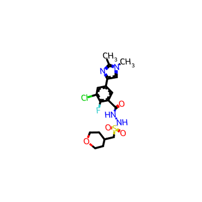 Cc1nc(-c2cc(Cl)c(F)c(C(=O)NNS(=O)(=O)CC3CCOCC3)c2)cn1C